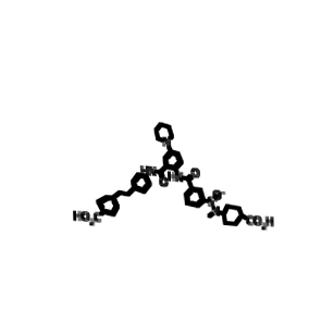 CN(C1CCC(C(=O)O)CC1)[S+]([O-])c1cccc(C(=O)Nc2ccc(N3CCCCC3)cc2C(=O)Nc2ccc(CCc3ccc(C(=O)O)cc3)cc2)c1